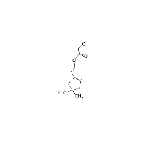 CC1(C)CC=C(CCOC(=O)CCl)C1